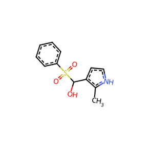 Cc1[nH]ccc1C(O)S(=O)(=O)c1ccccc1